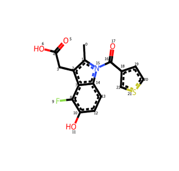 Cc1c(CC(=O)O)c2c(F)c(O)ccc2n1C(=O)c1ccsc1